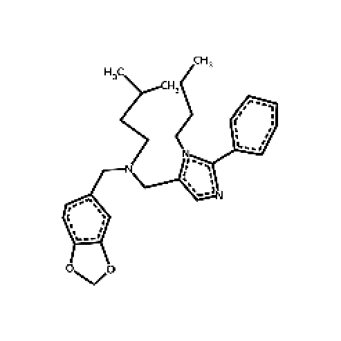 CCCCn1c(CN(CCC(C)C)Cc2ccc3c(c2)OCO3)cnc1-c1ccccc1